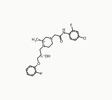 C[C@H]1CN(CC(=O)Nc2ccc(Cl)cc2F)CCN1C[C@H](O)COc1ccccc1F